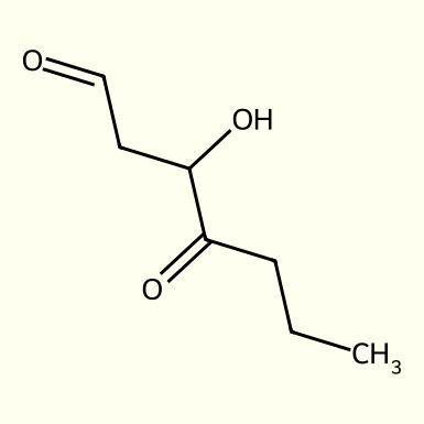 CCCC(=O)C(O)CC=O